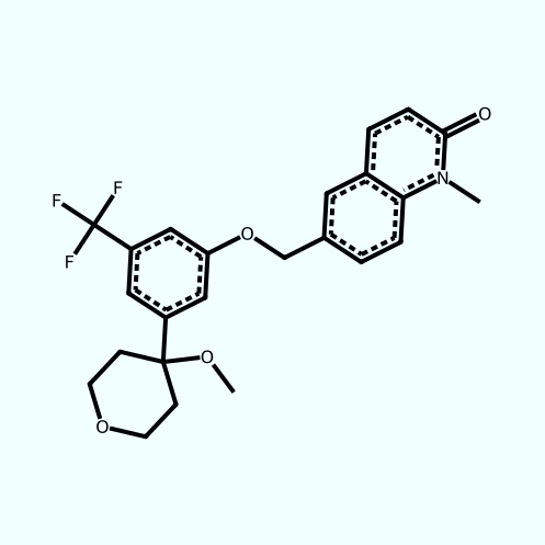 COC1(c2cc(OCc3ccc4c(ccc(=O)n4C)c3)cc(C(F)(F)F)c2)CCOCC1